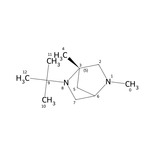 CN1C[C@]2(C)CC1CN2C(C)(C)C